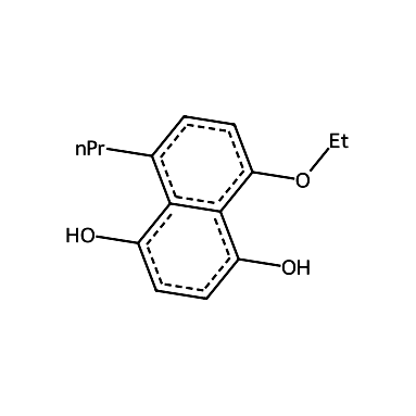 CCCc1ccc(OCC)c2c(O)ccc(O)c12